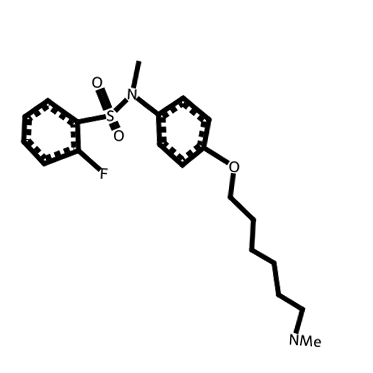 CNCCCCCCOc1ccc(N(C)S(=O)(=O)c2ccccc2F)cc1